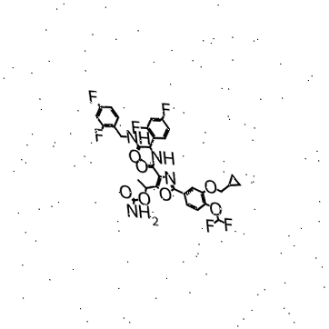 CC(OC(N)=O)c1oc(-c2ccc(OC(F)F)c(OCC3CC3)c2)nc1C(=O)NC(C(=O)NCc1ccc(F)cc1F)c1ccc(F)cc1F